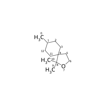 CC1CCC2(CCOC2(C)C)CC1